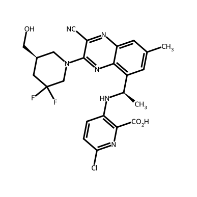 Cc1cc([C@@H](C)Nc2ccc(Cl)nc2C(=O)O)c2nc(N3C[C@H](CO)CC(F)(F)C3)c(C#N)nc2c1